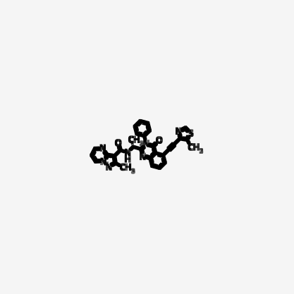 Cc1nn2cccnc2c1C(=O)N[C@H](C)c1nc2cccc(C#Cc3ncsc3C)c2c(=O)n1-c1ccccc1